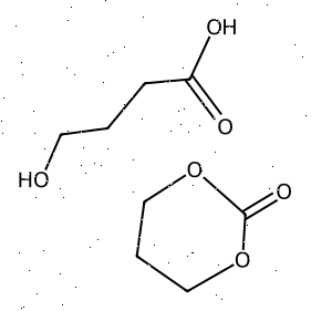 O=C(O)CCCO.O=C1OCCCO1